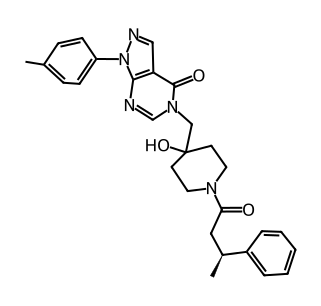 Cc1ccc(-n2ncc3c(=O)n(CC4(O)CCN(C(=O)C[C@H](C)c5ccccc5)CC4)cnc32)cc1